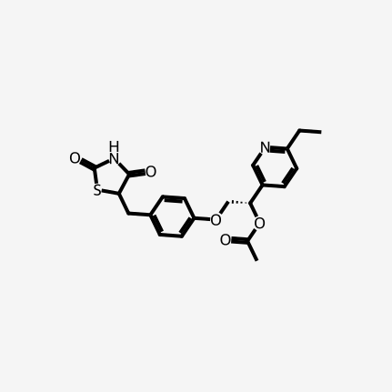 CCc1ccc([C@@H](COc2ccc(CC3SC(=O)NC3=O)cc2)OC(C)=O)cn1